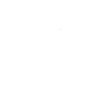 Cc1ccc(C2=NOC(CC(F)(F)F)(c3ccccc3)C2)cc1